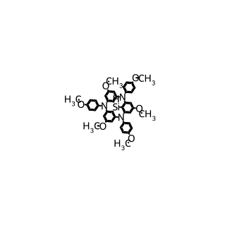 COc1ccc(N2c3cc(OC)cc4c3[SiH]3c5c2cc(OC)cc5N(c2ccc(OC)cc2)c2cc(OC)cc(c23)N4c2ccc(OC)cc2)cc1